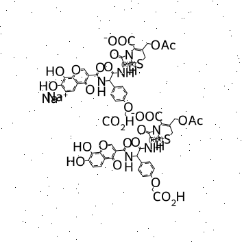 CC(=O)OCC1=C(C(=O)[O-])N2C(=O)[C@@H](NC(=O)C(NC(=O)c3coc4c(O)c(O)ccc4c3=O)c3ccc(OCC(=O)O)cc3)[C@H]2SC1.CC(=O)OCC1=C(C(=O)[O-])N2C(=O)[C@@H](NC(=O)C(NC(=O)c3coc4c(O)c(O)ccc4c3=O)c3ccc(OCC(=O)O)cc3)[C@H]2SC1.[Na+].[Na+]